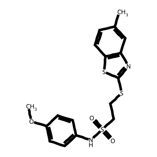 COc1ccc(NS(=O)(=O)CCSc2nc3cc(C)ccc3s2)cc1